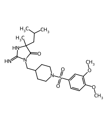 COc1ccc(S(=O)(=O)N2CCC(CN3C(=N)NC(C)(CC(C)C)C3=O)CC2)cc1OC